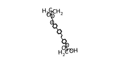 C=C(C)C(=O)OCCOc1ccc(-c2ccc(/C=C/c3ccc(OC(=O)C(=C)CO)cc3)cc2)cc1